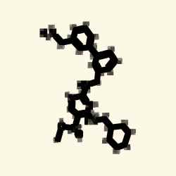 CO[N+](=O)c1cnc(NCc2cccc(-c3cccc(CN)c3)c2)nc1NCC1CCCCC1